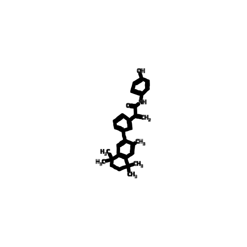 C=C(C(=O)Nc1ccc(O)cc1)c1cccc(-c2cc3c(cc2C)C(C)(C)CCC3(C)C)c1